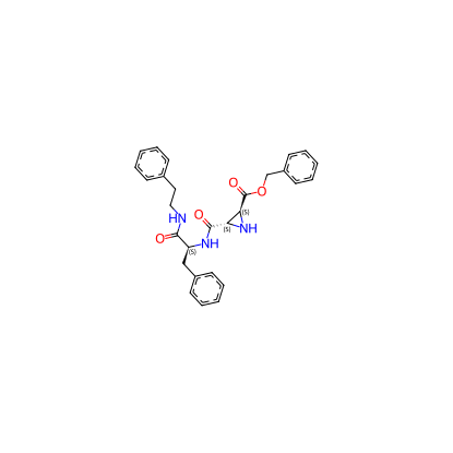 O=C(NCCc1ccccc1)[C@H](Cc1ccccc1)NC(=O)[C@H]1N[C@@H]1C(=O)OCc1ccccc1